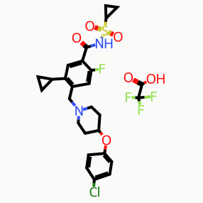 O=C(NS(=O)(=O)C1CC1)c1cc(C2CC2)c(CN2CCC(Oc3ccc(Cl)cc3)CC2)cc1F.O=C(O)C(F)(F)F